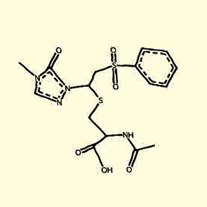 CC(=O)NC(CSC(CS(=O)(=O)c1ccccc1)n1ncn(C)c1=O)C(=O)O